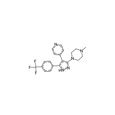 CN1CCN(c2n[nH]c(-c3ccc(C(F)(F)F)cc3)c2-c2ccncc2)CC1